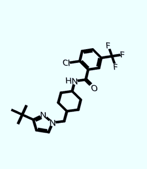 CC(C)(C)c1ccn(CC2CCC(NC(=O)c3cc(C(F)(F)F)ccc3Cl)CC2)n1